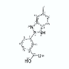 Cc1ccc2[nH]c(-c3cccc(C(=O)O)c3)nc2c1